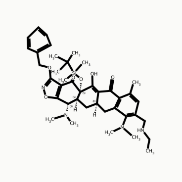 CCNCc1cc(C)c2c(c1N(C)C)C[C@H]1C[C@H]3[C@H](N(C)C)c4onc(OCc5ccccc5)c4C(=O)[C@@]3(O[Si](C)(C)C(C)(C)C)C(O)=C1C2=O